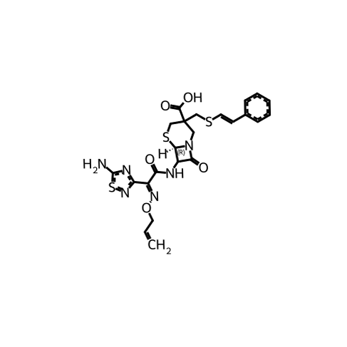 C=CCON=C(C(=O)NC1C(=O)N2CC(CSC=Cc3ccccc3)(C(=O)O)CS[C@H]12)c1nsc(N)n1